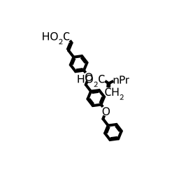 C=C(CCC)C(=O)O.O=C(O)C=Cc1ccc(OCc2ccc(OCc3ccccc3)cc2)cc1